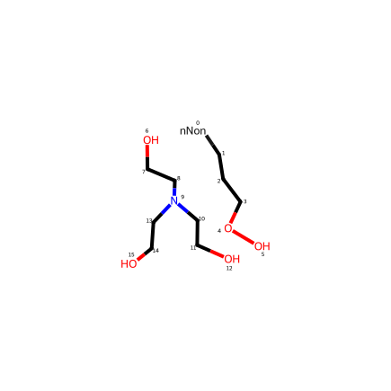 CCCCCCCCCCCCOO.OCCN(CCO)CCO